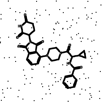 O=C1CCC(N2C(=O)c3cccc(N4CCN(C(=O)C(NC(=O)c5ccccc5)C5CC5)CC4)c3C2=O)C(=O)N1